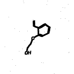 C=Cc1ccccc1OCCO